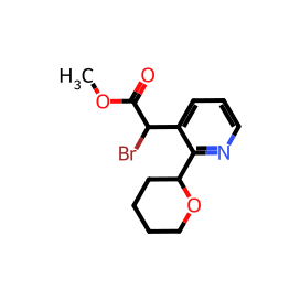 COC(=O)C(Br)c1cccnc1C1CCCCO1